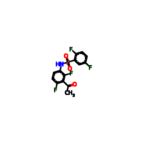 CC(=O)c1c(F)ccc(NS(=O)(=O)c2cc(F)ccc2F)c1F